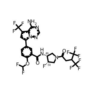 Nc1ncnn2c(-c3ccc(OC(F)F)c(C(=O)N[C@@H]4CN(C(=O)CC(C(F)(F)F)C(F)(F)F)C[C@@H]4F)c3)cc(C(F)(F)F)c12